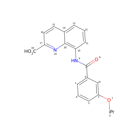 CC(C)Oc1cccc(C(=O)Nc2cccc3ccc(C(=O)O)nc23)c1